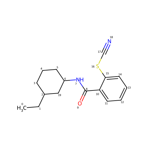 CCC1CCCC(NC(=O)c2ccccc2SC#N)C1